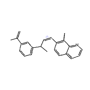 C=C(C)c1cccc(C(C)/C=C\c2ccc3cccnc3c2C)c1